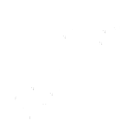 Cn1cc(C(=O)N2CCc3cc(-c4noc(C(F)(F)F)n4)sc3C2)cn1